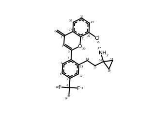 C=C1C=C(c2ccc(C(F)(F)F)cc2CCC2(N)CC2)Oc2c(Cl)cccc21